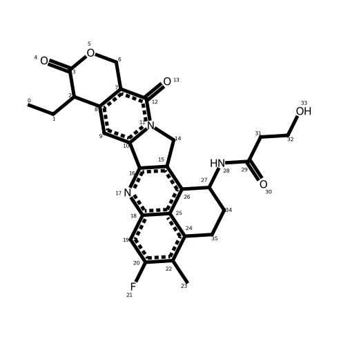 CCC1C(=O)OCc2c1cc1n(c2=O)Cc2c-1nc1cc(F)c(C)c3c1c2C(NC(=O)CCO)CC3